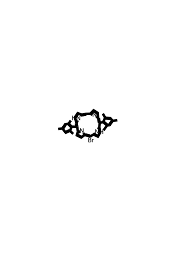 Cc1cc(C)c(-c2c3nc(c(Br)c4ccc([nH]4)c(-c4c(C)cc(C)cc4C)c4nc(cc5ccc2[nH]5)C=C4)C=C3)c(C)c1